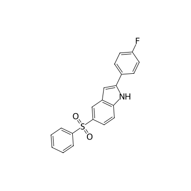 O=S(=O)(c1ccccc1)c1ccc2[nH]c(-c3ccc(F)cc3)cc2c1